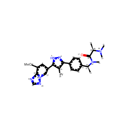 COc1cc(-c2[nH]nc(-c3ccc([C@H](C)N(C)C(=O)[C@@H](C)N(C)C)cc3)c2C(C)C)cn2ncnc12